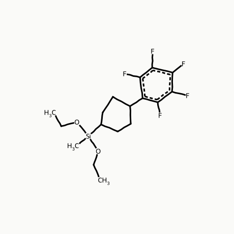 CCO[Si](C)(OCC)C1CCC(c2c(F)c(F)c(F)c(F)c2F)CC1